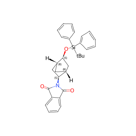 CC(C)(C)[Si](O[C@H]1C[C@H]2C[C@@H]1C[C@@H]2N1C(=O)c2ccccc2C1=O)(c1ccccc1)c1ccccc1